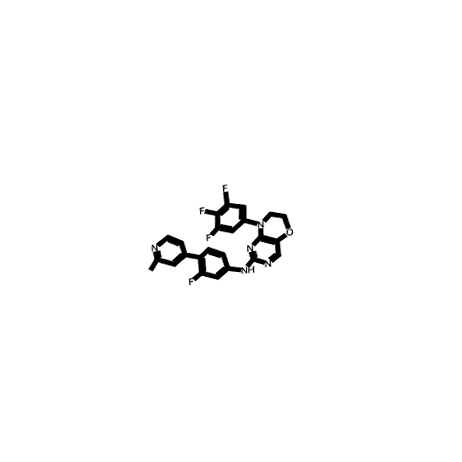 Cc1cc(-c2ccc(Nc3ncc4c(n3)N(c3cc(F)c(F)c(F)c3)CCO4)cc2F)ccn1